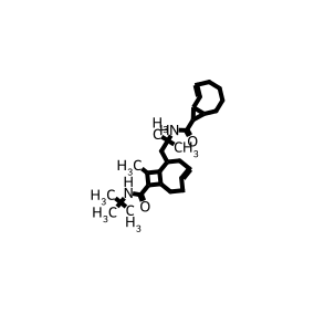 CC1C(C(=O)NC(C)(C)C)C2CC/C=C/CC(CC(C)(C)NC(=O)C3C4/C=C/CCCCC43)C12